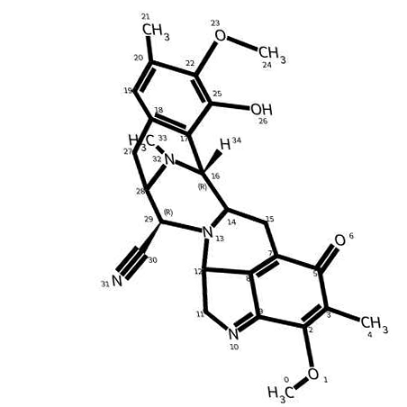 COC1=C(C)C(=O)C2=C3C1=NCC3N1C(C2)[C@H]2c3c(cc(C)c(OC)c3O)CC([C@@H]1C#N)N2C